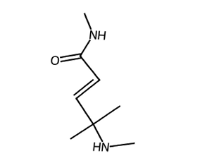 CNC(=O)C=CC(C)(C)NC